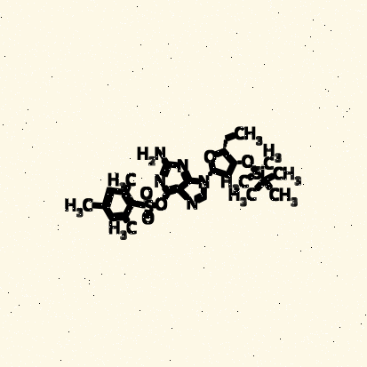 CC[C@H]1O[C@@H](n2cnc3c(OS(=O)(=O)c4c(C)cc(C)cc4C)nc(N)nc32)C[C@H]1O[Si](C)(C)C(C)(C)C